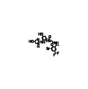 CC(NC(=O)CNC(=O)c1cc(O)cc(NC2=NCC(O)CN2)c1)c1cc(Br)cc(C(F)F)c1